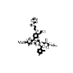 CC/C=C/c1cc([C@@H](C(=O)N[C@@H](C)C(=O)NC)N(C)C(=O)[C@H](CCNC(=O)OC(C)(C)C)NC(=O)c2ccc(C)cc2C)ccc1OCCNC(=O)OC(C)(C)C